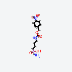 NP(=O)(O)CCCCNC(=O)OCc1ccc([N+](=O)[O-])cc1